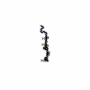 CC/C=C\C/C=C\C/C=C\C/C=C\C/C=C\CCCC(=O)NCCOCCNC(=O)Oc1ccc(/C=C/C(=O)CC(=O)/C=C/c2ccc(O)c(OC)c2)cc1OC